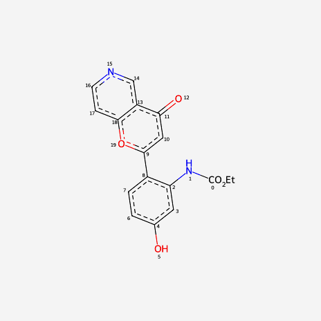 CCOC(=O)Nc1cc(O)ccc1-c1cc(=O)c2cnccc2o1